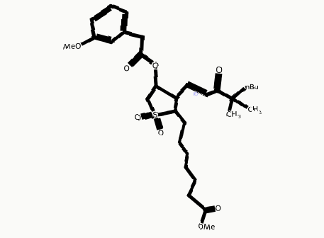 CCCCC(C)(C)C(=O)/C=C/C1C(OC(=O)Cc2cccc(OC)c2)CS(=O)(=O)C1CCCCCCC(=O)OC